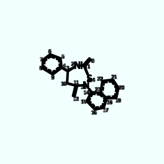 C=C1NC(c2ccccc2)CC(=C)N(c2cccc3ccccc23)S1